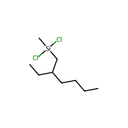 CCCCC(CC)C[Si](C)(Cl)Cl